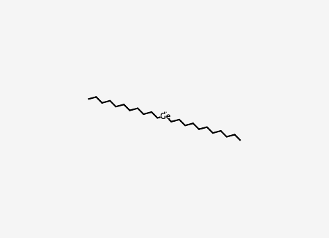 CCCCCCCCCC[CH2][Ge][CH2]CCCCCCCCCC